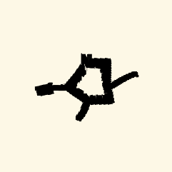 C#Cc1ncc(C)cc1C